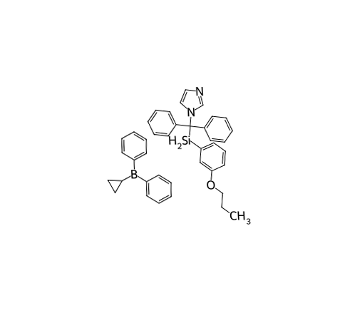 CCCOc1cccc([SiH2]C(c2ccccc2)(c2ccccc2)n2ccnc2)c1.c1ccc(B(c2ccccc2)C2CC2)cc1